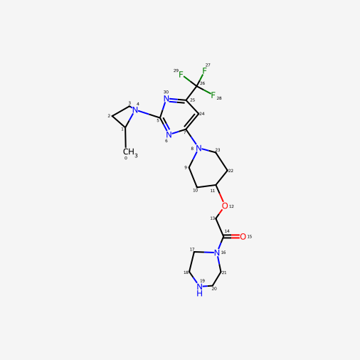 CC1CCN1c1nc(N2CCC(OCC(=O)N3CCNCC3)CC2)cc(C(F)(F)F)n1